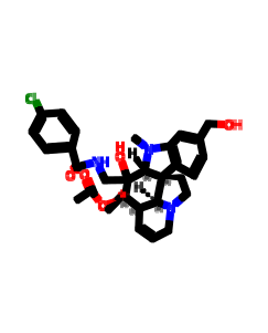 CC[C@]12C=CCN3CC[C@@]4(c5ccc(CO)cc5N(C)[C@H]4C(O)(CNC(=O)c4ccc(Cl)cc4)[C@@H]1OC(C)=O)[C@@H]32